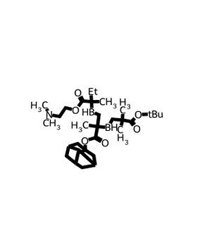 CCC(C)(BCC(C)(BCC(C)(C)C(=O)OC(C)(C)C)C(=O)OC12CC3CC(CC(C3)C1)C2)C(=O)OCCN(C)C